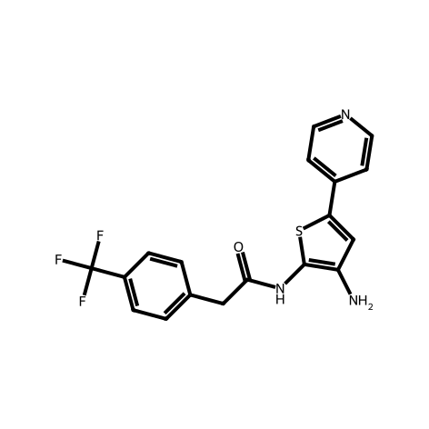 Nc1cc(-c2ccncc2)sc1NC(=O)Cc1ccc(C(F)(F)F)cc1